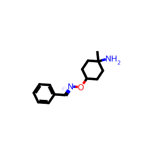 CC1(N)CCC(O/N=C/c2ccccc2)CC1